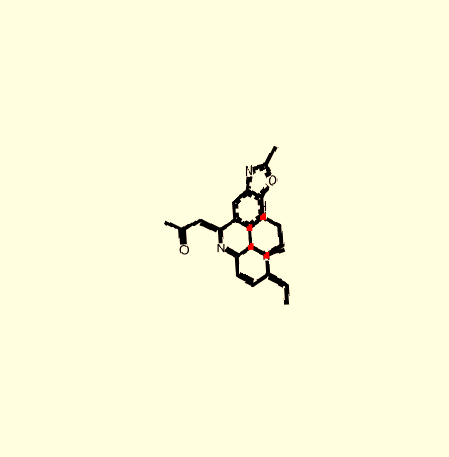 C\C=C(/C=C\C(=N\C(=C/C(C)=O)c1ccc2oc(C)nc2c1)C(C)CC)N1CCN[C@@H](C)C1